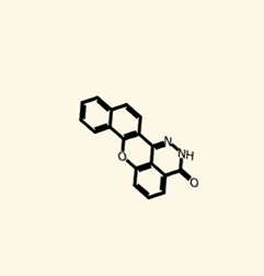 O=c1[nH]nc2c3c(cccc13)Oc1c-2ccc2ccccc12